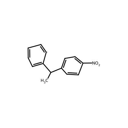 CC(c1[c]cccc1)c1ccc([N+](=O)[O-])cc1